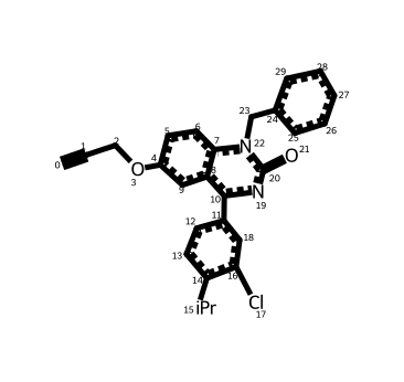 C#CCOc1ccc2c(c1)c(-c1ccc(C(C)C)c(Cl)c1)nc(=O)n2Cc1ccccc1